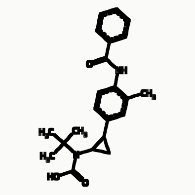 Cc1cc(C2CC2N(C(=O)O)C(C)(C)C)ccc1NC(=O)c1ccccc1